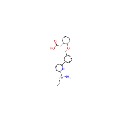 CCC[C@@H](N)c1cccc(-c2cccc(COc3ccccc3CC(=O)O)c2)n1